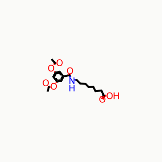 CC(=O)Oc1cc(OC(C)=O)cc(C(=O)NCCCCCCCC(=O)O)c1